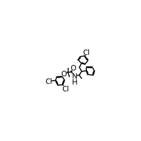 CC(NC(=O)C(C)(C)Oc1cc(Cl)cc(Cl)c1)C(Cc1ccc(Cl)cc1)c1ccccc1